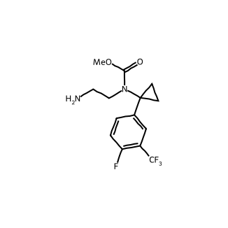 COC(=O)N(CCN)C1(c2ccc(F)c(C(F)(F)F)c2)CC1